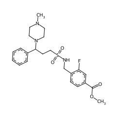 COC(=O)c1ccc(CNS(=O)(=O)CCC(c2ccccc2)N2CCN(C)CC2)c(F)c1